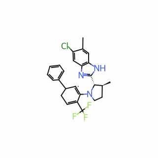 Cc1cc2[nH]c([C@@H]3[C@@H](C)CCN3C3=[C]C(c4ccccc4)CC=C3C(F)(F)F)nc2cc1Cl